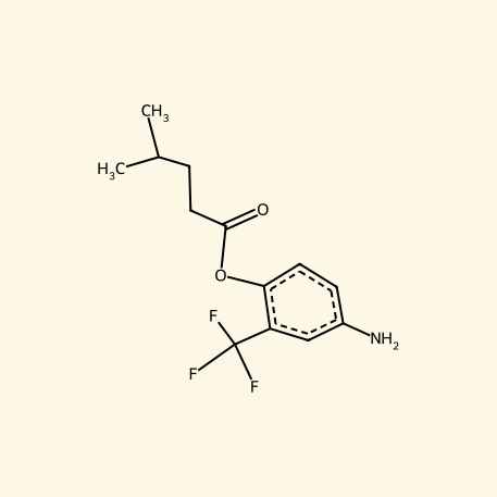 CC(C)CCC(=O)Oc1ccc(N)cc1C(F)(F)F